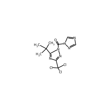 CC(C)(C)c1nc(C(Cl)(Cl)Cl)nn1C(=O)n1cncn1